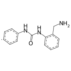 NCc1ccccc1NC(=O)Nc1cc[c]cc1